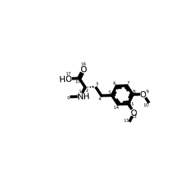 CN[C@@H](CCc1ccc(OC)c(OC)c1)C(=O)O